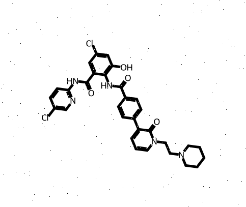 O=C(Nc1c(O)cc(Cl)cc1C(=O)Nc1ccc(Cl)cn1)c1ccc(-c2cccn(CCN3CCCCC3)c2=O)cc1